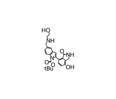 CC(C)(C)OC(=O)n1c(-c2ccc(O)c3c2C(=O)NC3)cc2cc(CNCCO)ccc21